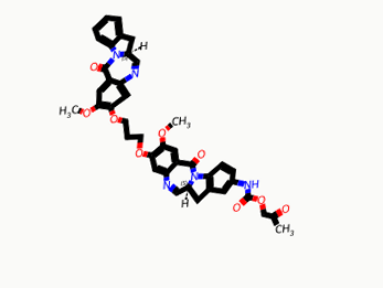 COc1cc2c(cc1OCCCOc1cc3c(cc1OC)C(=O)N1c4ccc(NC(=O)OCC(C)=O)cc4C[C@H]1C=N3)N=C[C@@H]1Cc3ccccc3N1C2=O